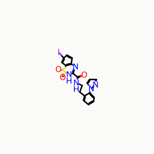 O=C(NCCc1ccccc1-n1cccn1)C1=Nc2ccc(I)cc2S(=O)(=O)N1